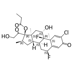 CCC(=O)O[C@]1(C(=O)CO)[C@H](C)C[C@H]2[C@@H]3C[C@H](F)C4=CC(=O)C(Cl)=C[C@]4(C)[C@@]3(F)[C@@H](O)C[C@@]21C